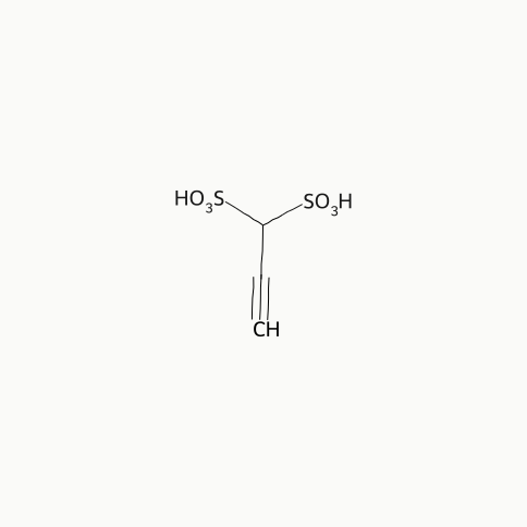 C#CC(S(=O)(=O)O)S(=O)(=O)O